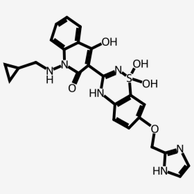 O=c1c(C2=NS(O)(O)c3cc(OCc4ncc[nH]4)ccc3N2)c(O)c2ccccc2n1NCC1CC1